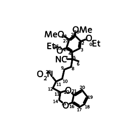 CCOc1cc(C(C)(C#N)CCCC(CC2COc3ccccc3O2)[N+](=O)[O-])c(OCC)c(OC)c1OC